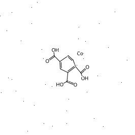 O=C(O)c1ccc(C(=O)O)c(C(=O)O)c1.[Co]